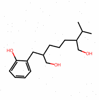 CC(C)C(CO)CCCC(CO)Cc1ccccc1O